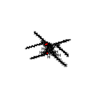 CCCCCCCCCCCCCC(=O)OC(CCCCCCCCCCC)CC(=O)O[C@@H]1C(NC(=O)CC(CCCCCCCCCCC)OC(=O)CCCCCCCCCCC)[C@H](OCC2O[C@H](OP(C)(=O)O)C(NC(=O)CC(O)CCCCCCCCCCC)[C@@H](OC(=O)CC(O)CCCCCCCCCCC)[C@@H]2O)OC(CO)[C@H]1OP(=O)(O)O